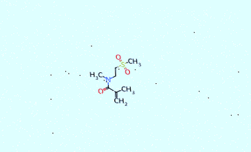 C=C(C)C(=O)N(C)CCS(C)(=O)=O